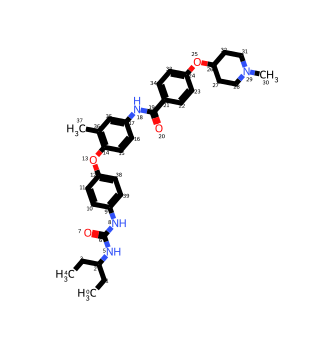 CCC(CC)NC(=O)Nc1ccc(Oc2ccc(NC(=O)c3ccc(OC4CCN(C)CC4)cc3)cc2C)cc1